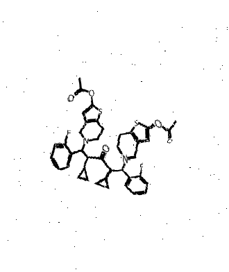 CC(=O)Oc1cc2c(s1)CCN(C(c1ccccc1F)C(C(=O)C(C1CC1)C(c1ccccc1F)N1CCc3sc(OC(C)=O)cc3C1)C1CC1)C2